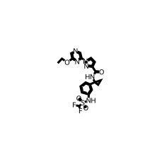 CCOc1cncc(-n2ccc(C(=O)NC3(c4cccc(NS(=O)(=O)C(F)F)c4)CC3)n2)n1